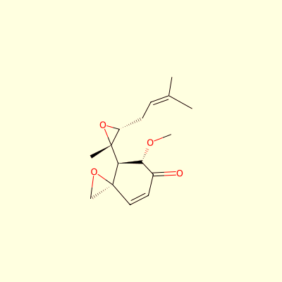 CO[C@@H]1C(=O)C=C[C@]2(CO2)[C@H]1[C@]1(C)O[C@@H]1CC=C(C)C